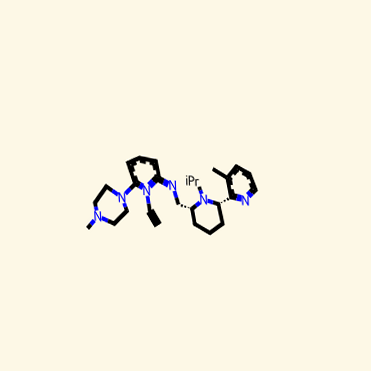 C#Cn1c(N2CCN(C)CC2)ccc/c1=N/C[C@H]1CCC[C@@H](c2ncccc2C)N1C(C)C